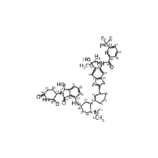 CN(C[C@H]1CC[C@H](c2nc3cc(C(C)(C)O)c(NC(=O)c4cccc(C(F)(F)F)n4)cc3s2)CC1)[C@H]1CC[C@H](Nc2cccc3c2C(=O)N(C2CCC(=O)NC2=O)C3O)CC1